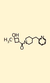 C[C@]1(O)C[C@@H](C(=O)N2CCC(Cc3ccccn3)CC2)C1